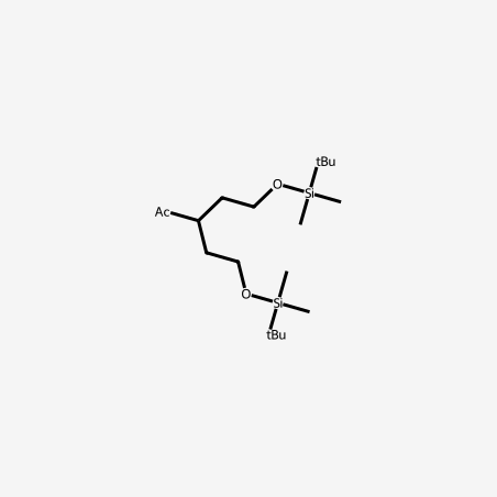 CC(=O)C(CCO[Si](C)(C)C(C)(C)C)CCO[Si](C)(C)C(C)(C)C